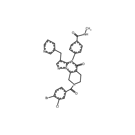 CNC(=O)c1ccc(-n2c(=O)c3c(n4ncc(Cc5cccnc5)c24)CN(C(=O)c2ccc(Br)c(Cl)c2)CC3)cc1